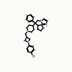 N#Cc1ccc(N2CC(CN3CCC(C(Cn4ccnc4)(c4ccccc4)C4CCCC4)CC3)C2)cc1